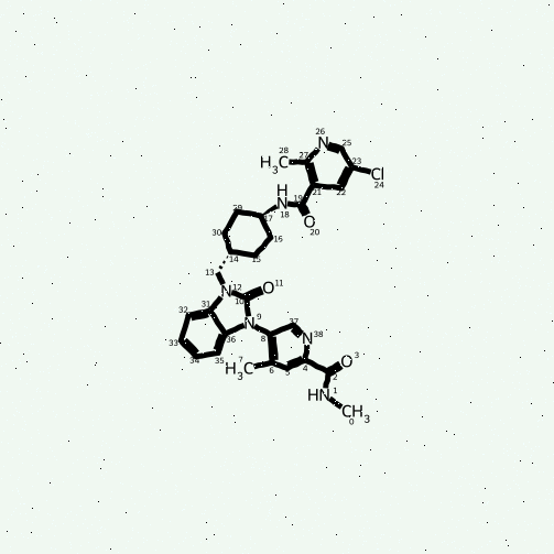 CNC(=O)c1cc(C)c(-n2c(=O)n(C[C@H]3CC[C@H](NC(=O)c4cc(Cl)cnc4C)CC3)c3ccccc32)cn1